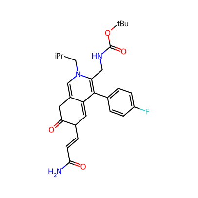 CC(C)CN1C=C2CC(=O)C(/C=C/C(N)=O)C=C2C(c2ccc(F)cc2)=C1CNC(=O)OC(C)(C)C